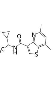 Cc1cc(C)c2scc(C(=O)NC(C3CC3)C(F)(F)F)c2n1